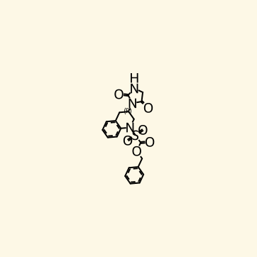 O=C1CNC(=O)N1[C@@H]1Cc2ccccc2N(S(=O)(=O)C(=O)OCc2ccccc2)C1